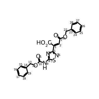 O=C(/C=C(\C(=O)O)c1nsc(NC(=O)OCc2ccccc2)n1)OCc1ccccc1